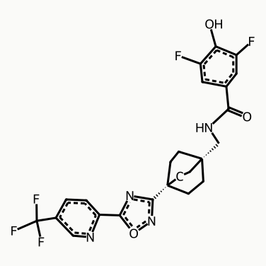 O=C(NC[C@]12CC[C@](c3noc(-c4ccc(C(F)(F)F)cn4)n3)(CC1)CC2)c1cc(F)c(O)c(F)c1